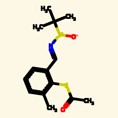 CC(=O)Sc1c(C)cccc1/C=N/[S+]([O-])C(C)(C)C